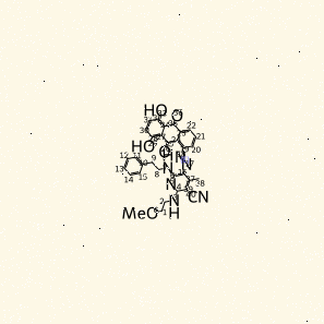 COCCNc1nc(NCCc2ccccc2)c(/N=N/c2cccc3c2C(=O)c2c(O)ccc(O)c2C3=O)c(C)c1C#N